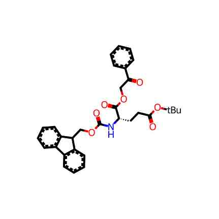 CC(C)(C)OC(=O)CC[C@H](NC(=O)OCC1c2ccccc2-c2ccccc21)C(=O)OCC(=O)c1ccccc1